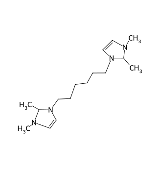 CC1N(C)C=CN1CCCCCCN1C=CN(C)C1C